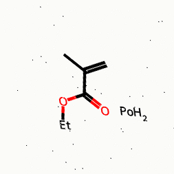 C=C(C)C(=O)OCC.[PoH2]